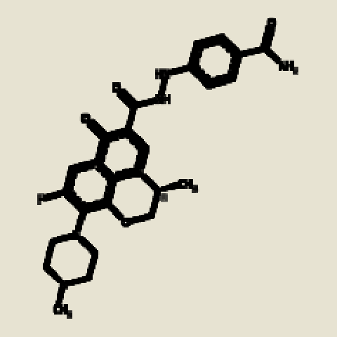 C[C@H]1COc2c(N3CCN(C)CC3)c(F)cc3c(=O)c(C(=O)NNc4ccc(C(N)=O)cc4)cn1c23